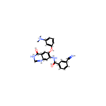 CN(C)c1cccc(Oc2cc3c(=O)[nH]cnc3cc2NC(=O)c2cccc(C#N)c2)c1